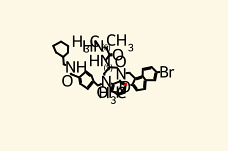 CN[C@@H](C)C(=O)N[C@H]1CN(C(O)c2ccc(C(=O)NCC3CCCCC3)cc2)c2ccccc2N(Cc2c(OC)ccc3cc(Br)ccc23)C1=O